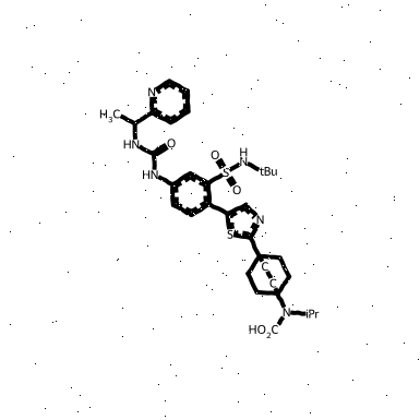 CC(NC(=O)Nc1ccc(-c2cnc(C34CCC(N(C(=O)O)C(C)C)(CC3)CC4)s2)c(S(=O)(=O)NC(C)(C)C)c1)c1ccccn1